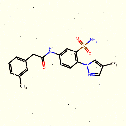 Cc1cccc(CC(=O)Nc2ccc(-n3cc(C(F)(F)F)cn3)c(S(N)(=O)=O)c2)c1